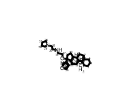 C[C@]12CCCCC1CC[C@@H]1[C@H]2CC[C@]2(C)C(OCCNCCN3CCCC3)(c3ccoc3)CC[C@@]12O